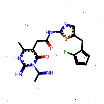 CC(=N)n1c(=N)[nH]c(C)c(CC(=O)Nc2ncc(CC3=CC=C=C3F)s2)c1=O